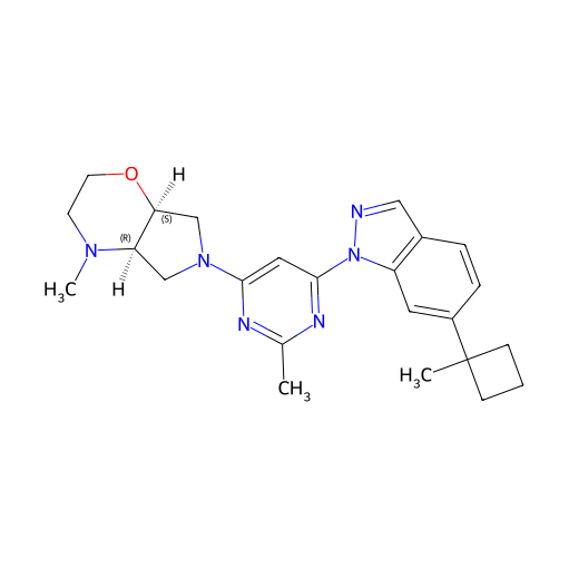 Cc1nc(N2C[C@@H]3OCCN(C)[C@@H]3C2)cc(-n2ncc3ccc(C4(C)CCC4)cc32)n1